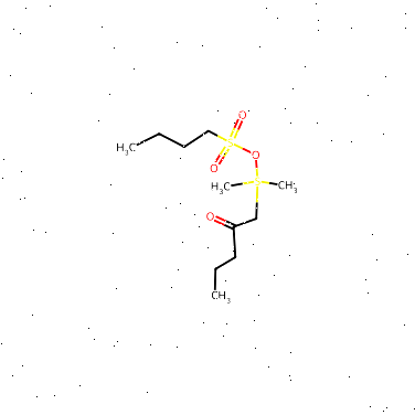 CCCCS(=O)(=O)OS(C)(C)CC(=O)CCC